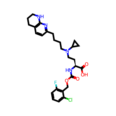 O=C(N[C@@H](CCN(CCCCc1ccc2c(n1)NCCC2)C1CC1)C(=O)O)OCc1c(F)cccc1Cl